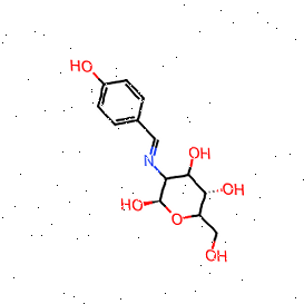 OCC1O[C@@H](O)C(/N=C/c2ccc(O)cc2)C(O)[C@@H]1O